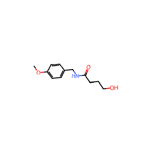 COc1ccc(CNC(=O)CCCO)cc1